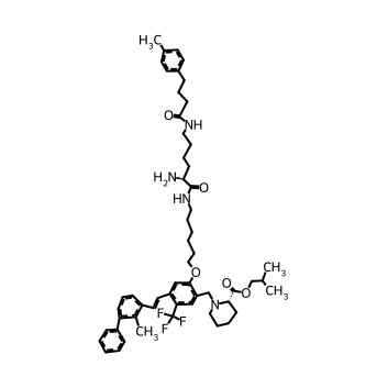 Cc1ccc(CCCC(=O)NCCCC[C@H](N)C(=O)NCCCCCCOc2cc(/C=C/c3cccc(-c4ccccc4)c3C)c(C(F)(F)F)cc2CN2CCCC[C@H]2C(=O)OCC(C)C)cc1